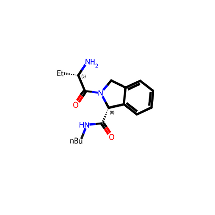 CCCCNC(=O)[C@H]1c2ccccc2CN1C(=O)[C@@H](N)CC